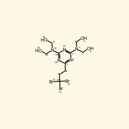 OCN(CO)c1nc(CCC(Br)(Br)Br)nc(N(CO)CO)n1